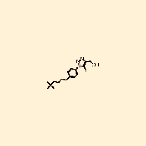 CC(C)(C)CCCCc1ccc(-n2nnc(CO)c2I)cc1